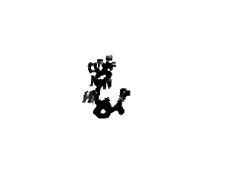 CSC(C)c1cccc(Nc2ncc(C(F)(F)F)c(Cl)n2)c1